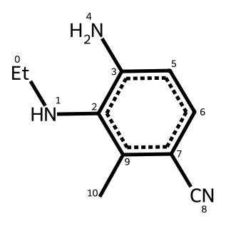 CCNc1c(N)ccc(C#N)c1C